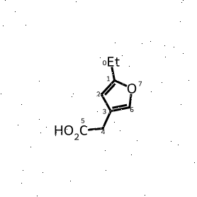 CCc1cc(CC(=O)O)co1